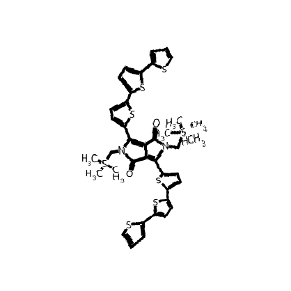 CS(C)(C)CN1C(=O)C2=C(c3ccc(-c4ccc(-c5cccs5)s4)s3)N(C[SH](C)(C)(C)C)C(=O)C2=C1c1ccc(-c2ccc(-c3cccs3)s2)s1